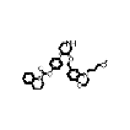 COCCCN1CCOc2ccc(CO[C@H]3CNCC[C@@H]3c3ccc(OC(=O)N4CCCc5ccccc54)cc3)cc21